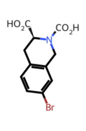 O=C(O)[C@@H]1Cc2ccc(Br)cc2CN1C(=O)O